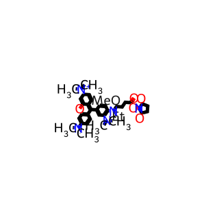 CCN(CCCC(=O)ON1C(=O)CCC1=O)c1cc(OC)c(-c2c3ccc(=[N+](C)C)cc-3oc3cc(N(C)C)ccc23)cc1N(C)C